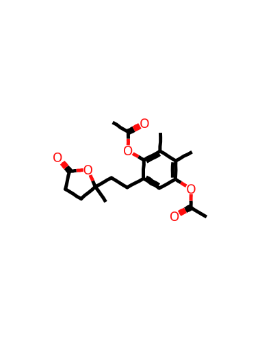 CC(=O)Oc1cc(CCC2(C)CCC(=O)O2)c(OC(C)=O)c(C)c1C